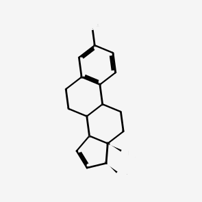 CC(=O)Oc1ccc2c(c1)CCC1C2CC[C@@]2(C)C1C=C[C@@H]2OC(C)=O